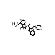 CC(c1cc2ccccn2c1CN1CCOCC1)n1nc(I)c2c(N)ncnc21